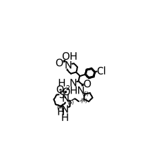 NC(C(=O)N[C@H]1CCC[C@@H]1CC[C@H]1CN[C@@H]2CCCS(=O)(=O)N1C2)C(c1ccc(Cl)cc1)C1CCN(C(=O)O)CC1